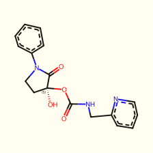 O=C(NCc1ccccn1)O[C@@]1(O)CCN(c2ccccc2)C1=O